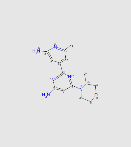 Cc1cc(-c2nc(N)cc(N3CCOCC3C)n2)cc(N)n1